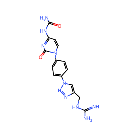 N=C(N)NCc1cn(-c2ccc(-n3ccc(NC(N)=O)nc3=O)cc2)nn1